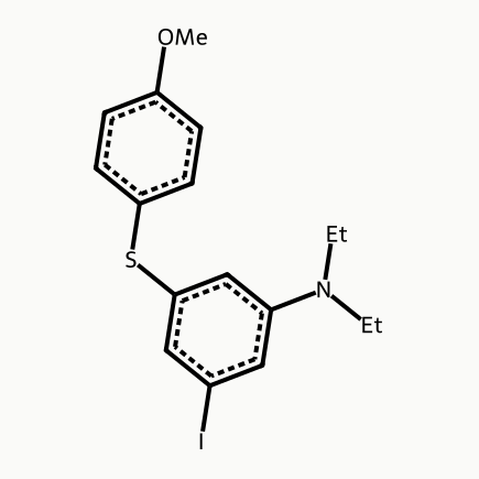 CCN(CC)c1cc(I)cc(Sc2ccc(OC)cc2)c1